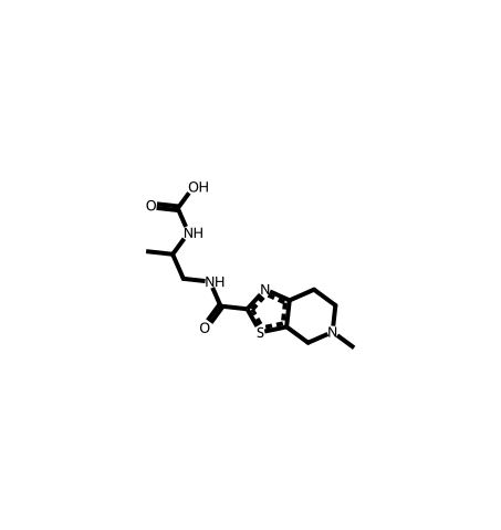 CC(CNC(=O)c1nc2c(s1)CN(C)CC2)NC(=O)O